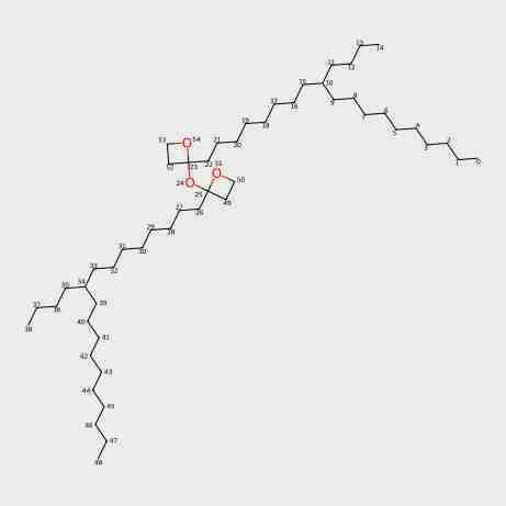 CCCCCCCCCCC(CCCC)CCCCCCCCC1(OC2(CCCCCCCCC(CCCC)CCCCCCCCCC)CCO2)CCO1